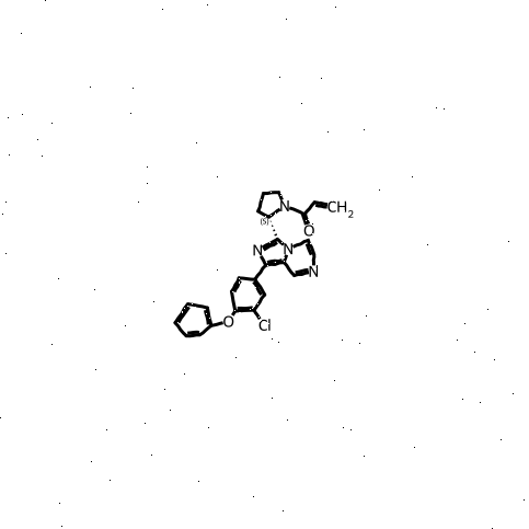 C=CC(=O)N1CCC[C@H]1c1nc(-c2ccc(Oc3ccccc3)c(Cl)c2)c2cnccn12